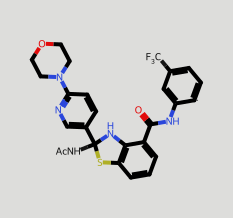 CC(=O)NC1(c2ccc(N3CCOCC3)nc2)Nc2c(cccc2C(=O)Nc2[c]ccc(C(F)(F)F)c2)S1